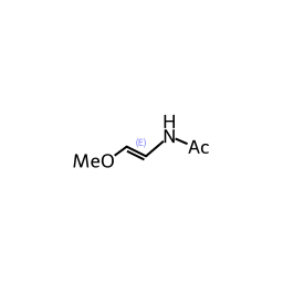 CO/C=C/NC(C)=O